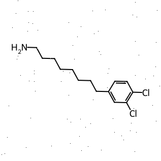 NCCCCCCCCc1ccc(Cl)c(Cl)c1